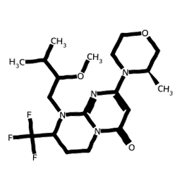 COC(CN1c2nc(N3CCOC[C@H]3C)cc(=O)n2CCC1C(F)(F)F)C(C)C